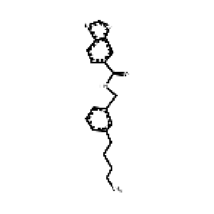 CCCCCc1cccc(CNC(=O)c2ccc3ncsc3c2)c1